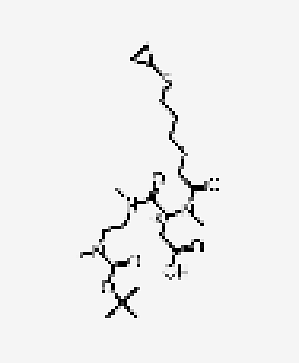 CN(CCN(C)C(=O)[C@H](CC(=O)O)N(C)C(=O)CCCCCSC1CC1)C(=O)OC(C)(C)C